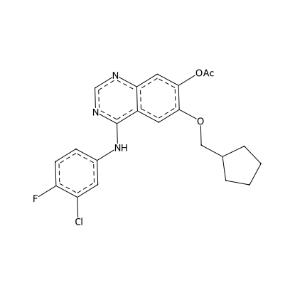 CC(=O)Oc1cc2ncnc(Nc3ccc(F)c(Cl)c3)c2cc1OCC1CCCC1